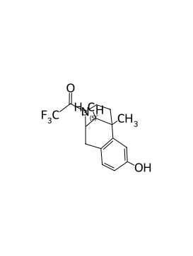 C[C@@H]1C2Cc3ccc(O)cc3C1(C)CCN2C(=O)C(F)(F)F